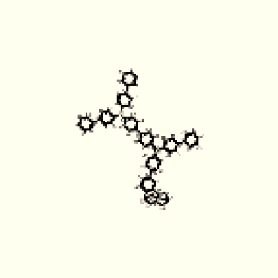 c1ccc(-c2ccc(N(c3ccc(-c4ccccc4)cc3)c3ccc(-c4ccc(N(c5ccc(-c6ccccc6)cc5)c5ccc(-c6ccc7c(c6)C6CC8CC7CC6C8)cc5)cc4)cc3)cc2)cc1